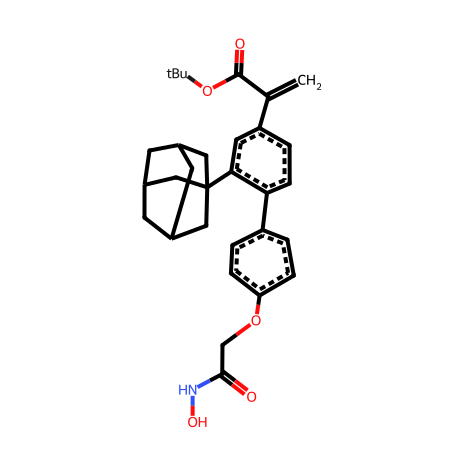 C=C(C(=O)OC(C)(C)C)c1ccc(-c2ccc(OCC(=O)NO)cc2)c(C23CC4CC(CC(C4)C2)C3)c1